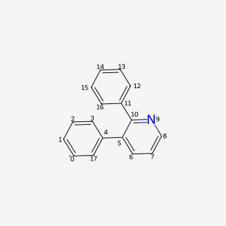 [c]1cccc(-c2cccnc2-c2ccccc2)c1